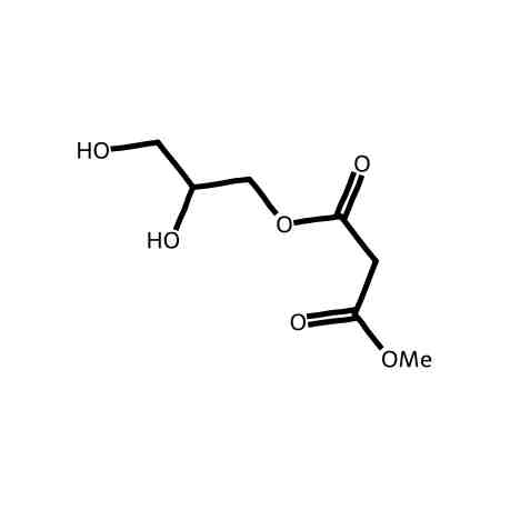 COC(=O)CC(=O)OCC(O)CO